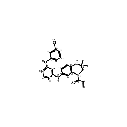 C=CC(=O)N1CC(C)(C)Oc2ccc(Nc3cc(Oc4cccc(Cl)c4)ncn3)cc21